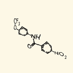 O=C(Nc1ccc(OC(F)(F)F)cc1)c1ccc([N+](=O)[O-])cc1